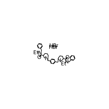 Br.Br.CCN(Cc1ccccc1)C(=O)C1CCCN(Cc2ccc(CN3CCCC(C(=O)N(CC)Cc4ccccc4)C3)cc2)C1